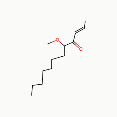 CC=CC(=O)C(CCCCCCC)OC